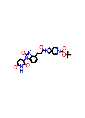 Cn1c(=O)n(C2CCC(=O)NC2=O)c2cccc(CCC(=O)N3CC4(CCN(C(=O)OC(C)(C)C)CC4)C3)c21